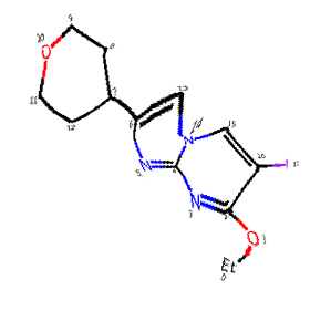 CCOc1nc2nc(C3CCOCC3)cn2cc1I